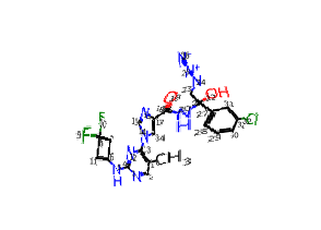 Cc1cnc(NC2CC(F)(F)C2)nc1-n1cnc(C(=O)NC(O)(CN=[N+]=[N-])c2cccc(Cl)c2)c1